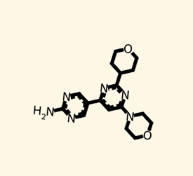 Nc1ncc(-c2cc(N3CCOCC3)nc(C3CCOCC3)n2)cn1